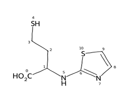 O=C(O)C(CCS)Nc1nccs1